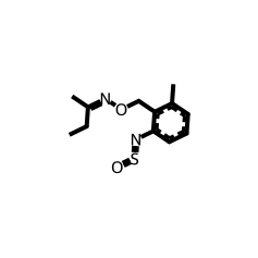 CCC(C)=NOCc1c(C)cccc1N=S=O